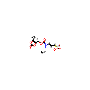 Cc1oc(=O)oc1COC(=O)NCCCS(=O)(=O)[O-].[Na+]